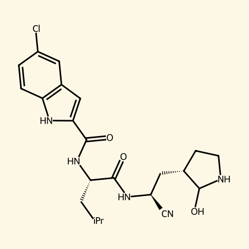 CC(C)C[C@H](NC(=O)c1cc2cc(Cl)ccc2[nH]1)C(=O)N[C@H](C#N)C[C@@H]1CCNC1O